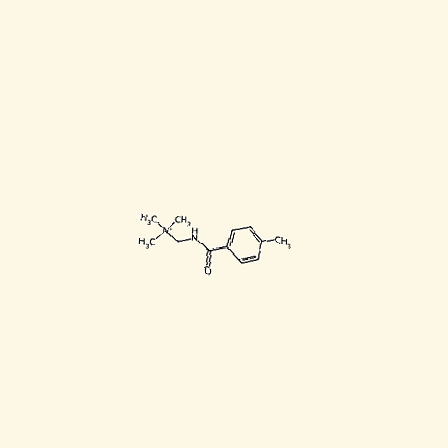 Cc1ccc(C(=O)NC[N+](C)(C)C)cc1